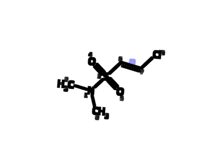 CN(C)S(=O)(=O)/C=C/Cl